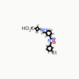 CCc1cccc(-c2nc(-c3cccc(CN[C@H]4C[C@@H](C(=O)O)C4)c3)no2)c1